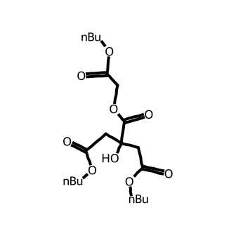 CCCCOC(=O)COC(=O)C(O)(CC(=O)OCCCC)CC(=O)OCCCC